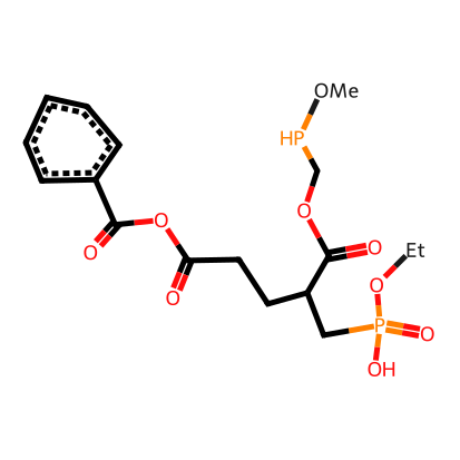 CCOP(=O)(O)CC(CCC(=O)OC(=O)c1ccccc1)C(=O)OCPOC